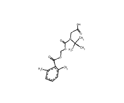 Cc1cccc(C)c1C(=O)OCOC(=O)N(CC(=O)O)C(C)(C)C